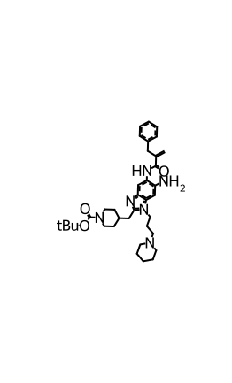 C=C(Cc1ccccc1)C(=O)Nc1cc2nc(CC3CCN(C(=O)OC(C)(C)C)CC3)n(CCCN3CCCCC3)c2cc1N